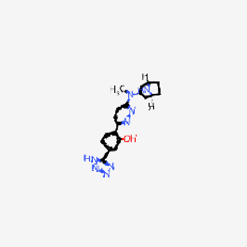 CN(c1ccc(-c2ccc(-c3nnn[nH]3)cc2O)nn1)[C@H]1C[C@H]2CC[C@@H](C1)N2